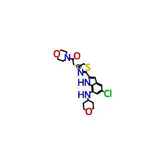 O=C(C[C@@H]1CSC(c2cc3cc(Cl)cc(NC4CCOCC4)c3[nH]2)=N1)N1CCOCC1